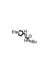 CCN1CCC(NCC(=O)NC(C)(C)C)CC1